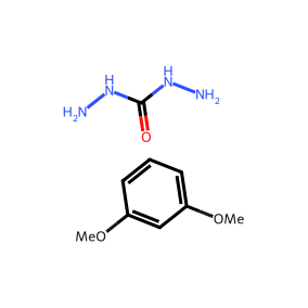 COc1cccc(OC)c1.NNC(=O)NN